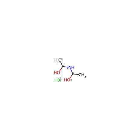 Br.CC(O)NC(C)O